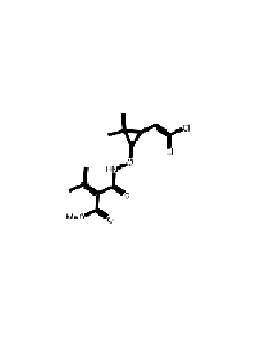 COC(=O)C(C(=O)NOC1C(C=C(Cl)Cl)C1(C)C)=C(C)C